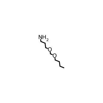 CCCCOCOCCCN